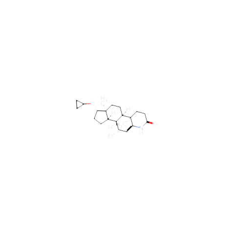 CC[C@H]1C=C2NC(=O)CC[C@]2(C)[C@H]2CC[C@]3(C)[C@@H](OC4CC4)CC[C@H]3[C@H]12